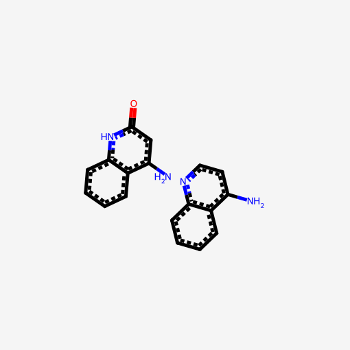 Nc1cc(=O)[nH]c2ccccc12.Nc1ccnc2ccccc12